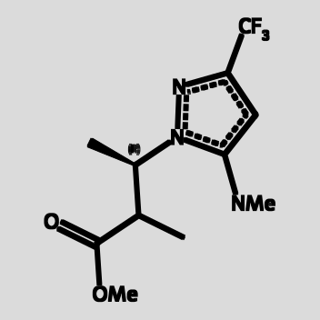 CNc1cc(C(F)(F)F)nn1[C@H](C)C(C)C(=O)OC